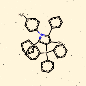 Cc1ccc(-n2c(-c3ccccc3)c(C)c([Si](c3ccccc3)(c3ccccc3)c3ccccc3)c2-c2ccccc2)cc1